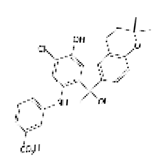 CC1(C)CCc2cc(C(C)(O)c3cc(O)c(Cl)cc3Nc3cccc(C(=O)O)c3)ccc2O1